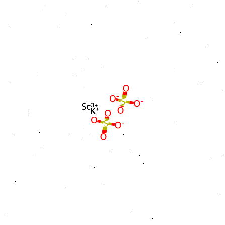 O=S(=O)([O-])[O-].O=S(=O)([O-])[O-].[K+].[Sc+3]